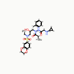 CC(C)CN(C[C@@H](O)[C@H](Cc1ccccc1)N(NC(=O)CNC1CC1)C(=O)CC(C)(C)C)S(=O)(=O)c1ccc2c(c1)OCCO2